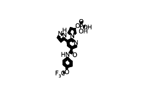 O=C(Nc1ccc(OC(F)(F)F)cc1)c1cnc(N2CC[C@@H](OP(=O)(O)O)C2)c(-c2ccn[nH]2)c1